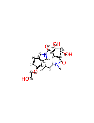 CCCCN(C)C(=O)c1cc(C(=O)N2Cc3ccc(OCCO)cc3C2)c(O)cc1O